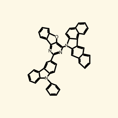 c1ccc(-n2c3ccccc3c3cc(-c4nc(-n5c6cc7ccccc7cc6c6c7ccccc7ccc65)c5oc6ccccc6c5n4)ccc32)cc1